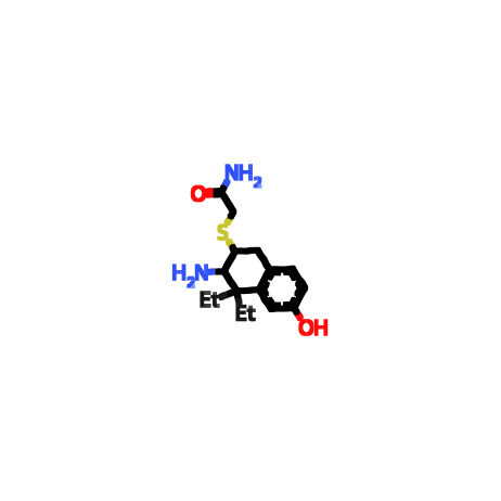 CCC1(CC)c2cc(O)ccc2CC(SCC(N)=O)C1N